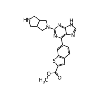 COC(=O)c1cc2ccc(-c3nc(N4CC5CNCC5C4)nc4[nH]cnc34)cc2s1